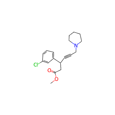 COC(=O)CC(C#CCN1CCCCC1)c1cccc(Cl)c1